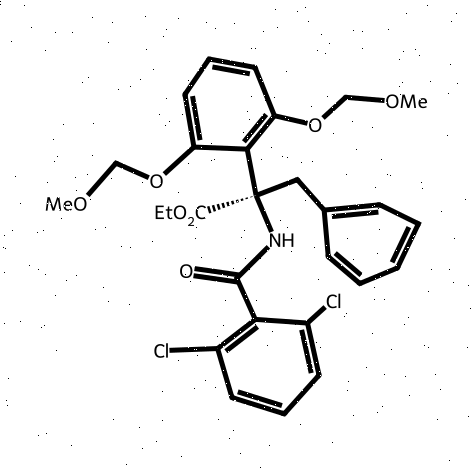 CCOC(=O)[C@](Cc1ccccc1)(NC(=O)c1c(Cl)cccc1Cl)c1c(OCOC)cccc1OCOC